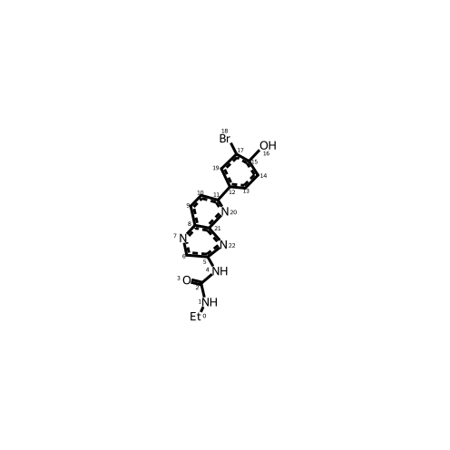 CCNC(=O)Nc1cnc2ccc(-c3ccc(O)c(Br)c3)nc2n1